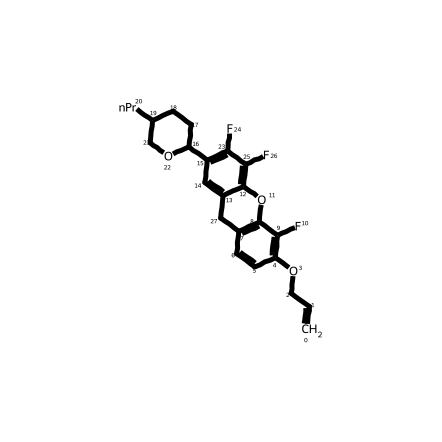 C=CCOc1ccc2c(c1F)Oc1c(cc(C3CCC(CCC)CO3)c(F)c1F)C2